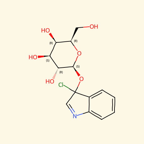 OC[C@H]1O[C@@H](OC2(Cl)C=Nc3ccccc32)[C@H](O)[C@@H](O)[C@H]1O